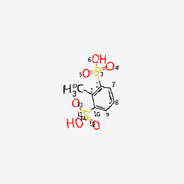 Cc1c(S(=O)(=O)O)c[c]cc1S(=O)(=O)O